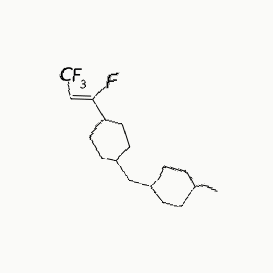 CC1CCC(CC2CCC(/C(F)=C/C(F)(F)F)CC2)CC1